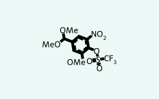 COc1cc(C(OC)OC)cc([N+](=O)[O-])c1OS(=O)(=O)C(F)(F)F